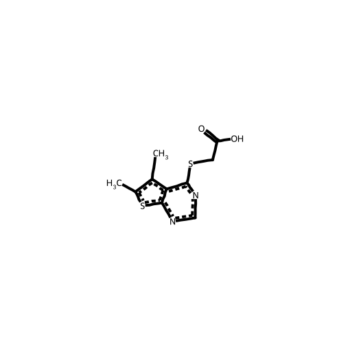 Cc1sc2ncnc(SCC(=O)O)c2c1C